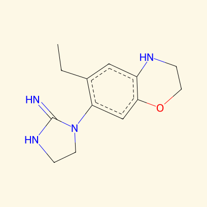 CCc1cc2c(cc1N1CCNC1=N)OCCN2